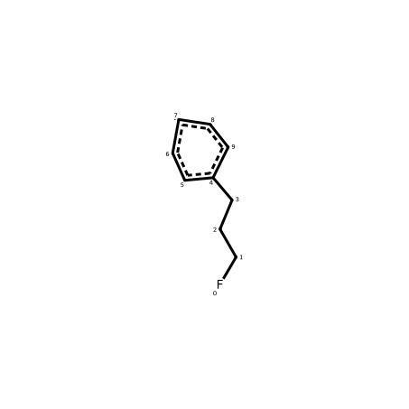 FCCCc1cc[c]cc1